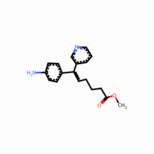 COC(=O)CCCC=C(c1ccc(N)cc1)c1cccnc1